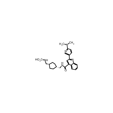 CN(C)c1ccc(-c2cc(C(=O)NC[C@H]3CC[C@H](CNC(=O)O)CC3)c3ccccc3n2)cn1